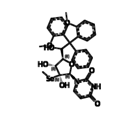 COc1ccccc1C(c1ccccc1)(c1ccccc1OC)C(O)[C@H]1O[C@@H](n2ccc(=O)[nH]c2=O)[C@@](O)([Se]C)[C@@H]1O